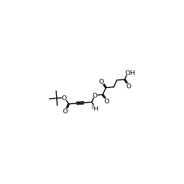 [2H]C(C#CC(=O)OC(C)(C)C)OC(=O)C(=O)CCC(=O)O